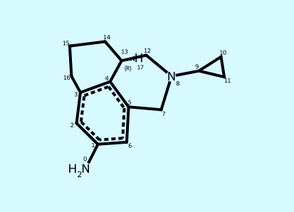 Nc1cc2c3c(c1)CN(C1CC1)C[C@@H]3CCC2